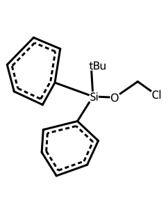 CC(C)(C)[Si](OCCl)(c1ccccc1)c1ccccc1